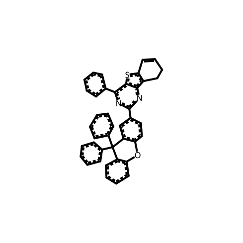 C1=Cc2sc3c(-c4ccccc4)nc(-c4ccc5c(c4)C(c4ccccc4)(c4ccccc4)c4ccccc4O5)nc3c2CC1